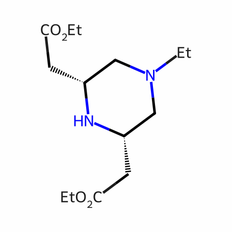 CCOC(=O)C[C@@H]1CN(CC)C[C@H](CC(=O)OCC)N1